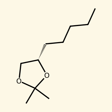 CCCCC[C@H]1COC(C)(C)O1